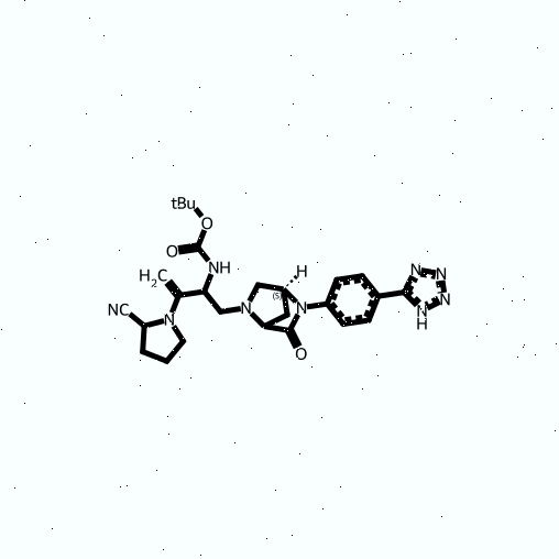 C=C(C(CN1C[C@@H]2CC1C(=O)N2c1ccc(-c2nnn[nH]2)cc1)NC(=O)OC(C)(C)C)N1CCCC1C#N